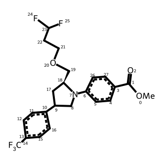 COC(=O)c1ccc(N2CC(c3ccc(C(F)(F)F)cc3)C[C@H]2COCCC(F)F)cc1